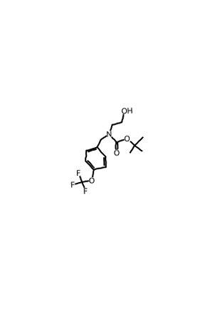 CC(C)(C)OC(=O)N(CCO)Cc1ccc(OC(F)(F)F)cc1